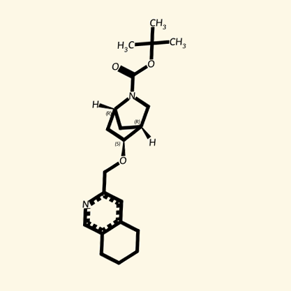 CC(C)(C)OC(=O)N1C[C@H]2C[C@@H]1C[C@@H]2OCc1cc2c(cn1)CCCC2